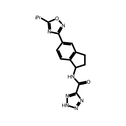 CC(C)c1nc(-c2ccc3c(c2)CCC3NC(=O)c2nn[nH]n2)no1